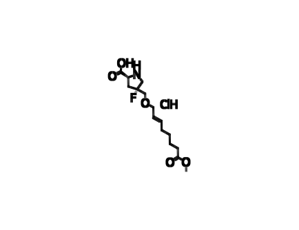 COC(=O)CCCC/C=C/COC[C@]1(F)CN[C@H](C(=O)O)C1.Cl